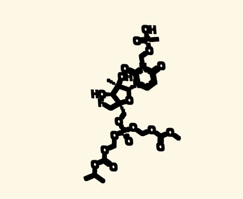 COC(=O)OCOP(=O)(OCOC(=O)OC(C)C)OC[C@@]1(CF)O[C@@H](n2ccc(=O)n(COP(C)(=O)O)c2=O)[C@](C)(O)[C@@H]1O